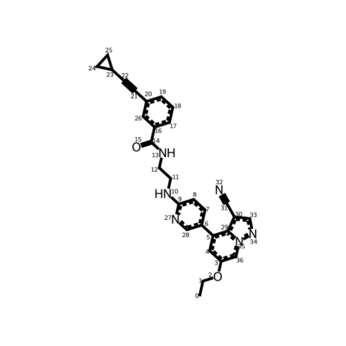 CCOc1cc(-c2ccc(NCCNC(=O)c3cccc(C#CC4CC4)c3)nc2)c2c(C#N)cnn2c1